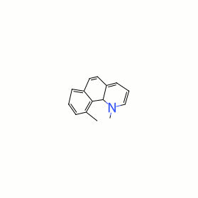 Cc1cccc2c1C1C(=CC=CN1C)C=C2